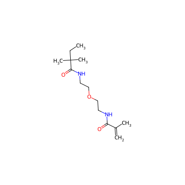 C=C(C)C(=O)NCCOCCNC(=O)C(C)(C)CC